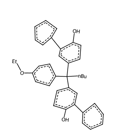 CCCCC(c1ccc(OCC)cc1)(c1ccc(O)c(-c2ccccc2)c1)c1ccc(O)c(-c2ccccc2)c1